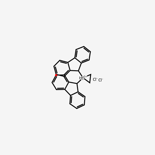 [Cl-].[Cl-].c1ccc2c(c1)-c1ccccc1[CH]2[Hf+2]1([CH]2c3ccccc3-c3ccccc32)[CH2][CH2]1